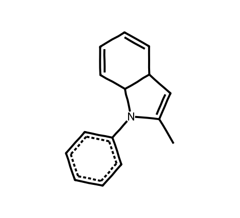 CC1=CC2C=CC=CC2N1c1ccccc1